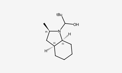 C[C@@H]1C[C@@H]2CCCC[C@@H]2N1C(O)C(C)(C)C